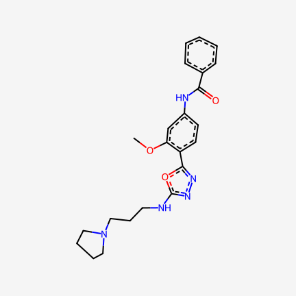 COc1cc(NC(=O)c2ccccc2)ccc1-c1nnc(NCCCN2CCCC2)o1